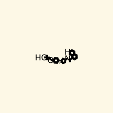 CC(NC1CC[C@H](c2ccc(OCC(C)(C)O)cc2)C1)c1cccc2ccccc12